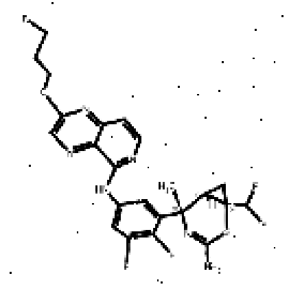 C[C@]1(c2cc(Nc3nccc4nc(OCCCF)cnc34)cc(F)c2F)N=C(N)S[C@@]2(C(F)F)C[C@@H]12